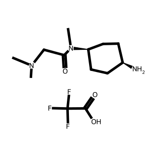 CN(C)CC(=O)N(C)[C@H]1CC[C@@H](N)CC1.O=C(O)C(F)(F)F